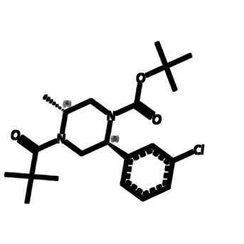 C[C@@H]1CN(C(=O)OC(C)(C)C)[C@@H](c2cccc(Cl)c2)CN1C(=O)C(C)(C)C